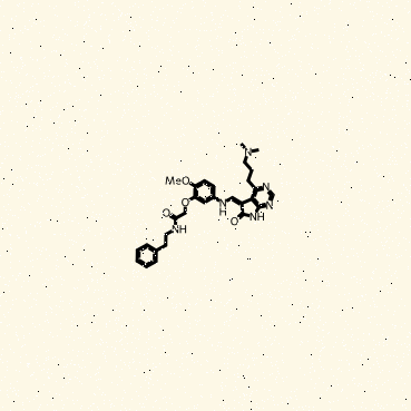 COc1ccc(N/C=C2\C(=O)Nc3ncnc(CCCN(C)C)c32)cc1OCC(=O)NCCc1ccccc1